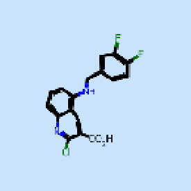 O=C(O)c1cc2c(NCc3ccc(F)c(F)c3)cccc2nc1Cl